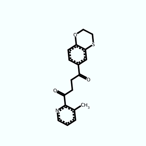 Cc1cccnc1C(=O)CCC(=O)c1ccc2c(c1)SCCO2